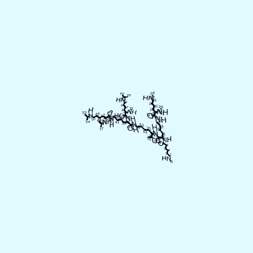 CNCCCCCC(=O)NC(CCCCNC(=O)C(CCCCNC)NC)C(=O)NC(CCCCNC(=O)C(CCCCNC(=O)C(CCCCNC(C)C)NC(C)C)NC(O)C(CCCCNC(C)C)NC)C(C)=O